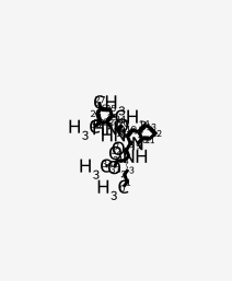 CCCC[C@@H](NC(=O)c1nc2ccccc2cc1NC(=O)Nc1c(C)cc(C)cc1C)C(=O)OC